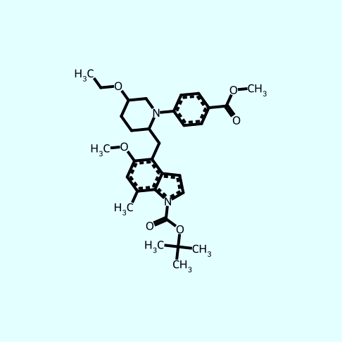 CCOC1CCC(Cc2c(OC)cc(C)c3c2ccn3C(=O)OC(C)(C)C)N(c2ccc(C(=O)OC)cc2)C1